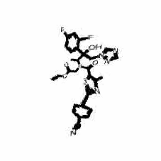 CCOC(=O)CN(C(=O)c1sc(-c2ccc(C#N)cc2)nc1C)C(C)C(O)(Cn1cncn1)c1ccc(F)cc1F